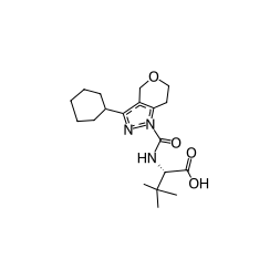 CC(C)(C)[C@H](NC(=O)n1nc(C2CCCCC2)c2c1CCOC2)C(=O)O